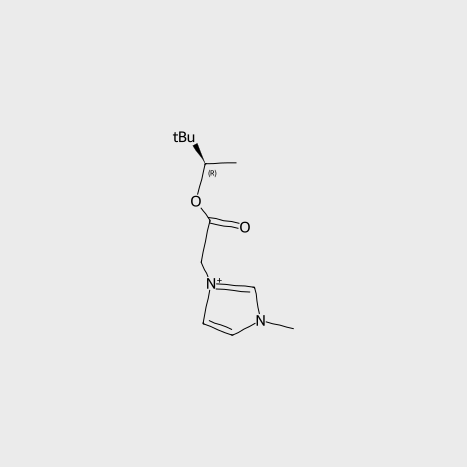 C[C@@H](OC(=O)C[n+]1ccn(C)c1)C(C)(C)C